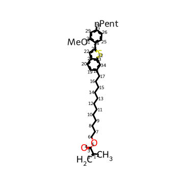 C=C(C)C(=O)OCCCCCCCCCCCCc1ccc2cc(-c3ccc(CCCCC)cc3OC)sc2c1